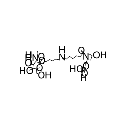 CC(=O)NC1C(OCCCCCNCCCCCC(=O)N2CC(O)CC2CO[PH](=O)O)OC(CO)C(O)C1O